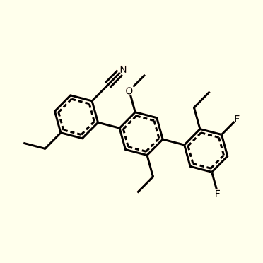 CCc1ccc(C#N)c(-c2cc(CC)c(-c3cc(F)cc(F)c3CC)cc2OC)c1